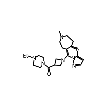 CCN1CCN(C(=O)C2CN(c3c4c(nc5ccnn35)CCN(C)CC4)C2)CC1